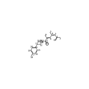 C=C(C)/C=C(C)\C=C(/C)C(=O)NCCc1ccc(C)cc1